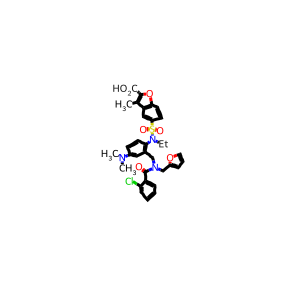 CCN(c1ccc(N(C)C)cc1CN(Cc1ccco1)C(=O)c1ccccc1Cl)S(=O)(=O)c1ccc2oc(C(=O)O)c(C)c2c1